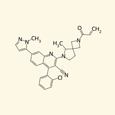 C=CC(=O)N1CC2(CCN(c3nc4cc(-c5ccnn5C)ccc4c(-c4ccccc4Cl)c3C#N)C2C)C1